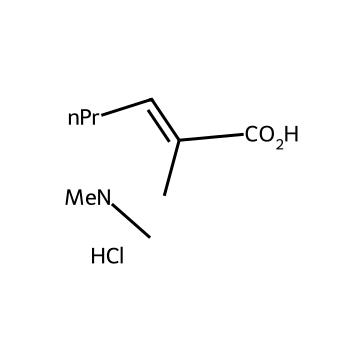 CCCC=C(C)C(=O)O.CNC.Cl